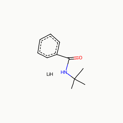 CC(C)(C)NC(=O)c1ccccc1.[LiH]